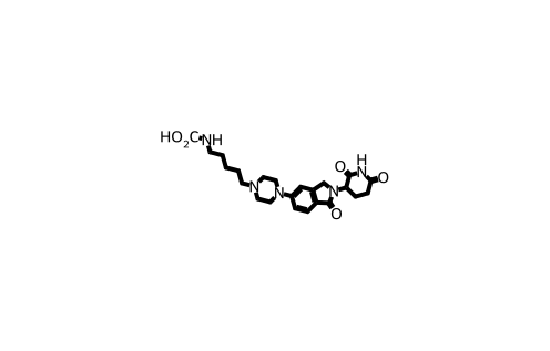 O=C(O)NCCCCCN1CCN(c2ccc3c(c2)CN(C2CCC(=O)NC2=O)C3=O)CC1